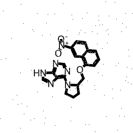 O=[N+]([O-])c1ccc2cccc(OCC3CCCN3c3ncnc4[nH]cnc34)c2c1